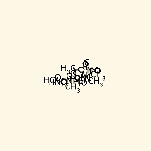 Cc1cc(NC(=O)O)ccc1NC(=O)c1cc(F)c(-n2nc([C@@H](C)N(Cc3ccccc3)Cc3ccccc3)n(C)c2=O)cc1OC(C)C1CCCCC1